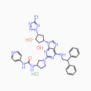 CCc1nnn([C@H]2C[C@@H](n3cnc4c(NCC(c5ccccc5)c5ccccc5)nc(N5CCC(NC(=O)Nc6ccncc6)C5)nc43)[C@H](O)[C@@H]2O)n1.Cl